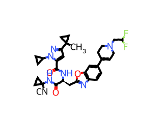 CC1(c2cc(C(=O)N[C@@H](Cc3nc4ccc(C5=CCN(CC(F)F)CC5)cc4o3)C(=O)NC3(C#N)CC3)n(C3CC3)n2)CC1